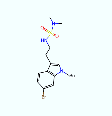 CCC(C)n1cc(CCNS(=O)(=O)N(C)C)c2ccc(Br)cc21